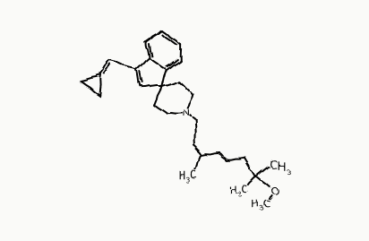 COC(C)(C)CCCC(C)CCN1CCC2(C=C(C=C3CC3)c3ccccc32)CC1